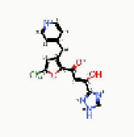 O=C(C=C(O)c1nc[nH]n1)c1oc(Cl)cc1Cc1ccncc1